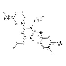 CCCc1cc(N2CCC[C@@H](NC)C2)nc(Nc2ccc(C)c(N)c2)n1.Cl.Cl